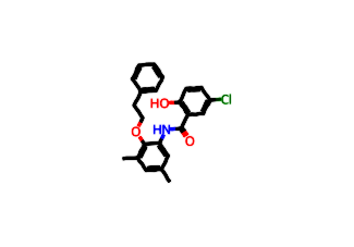 Cc1cc(C)c(OCCc2ccccc2)c(NC(=O)c2cc(Cl)ccc2O)c1